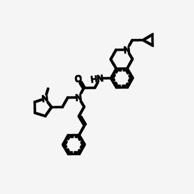 CN1CCCC1CCN(C/C=C/c1ccccc1)C(=O)CNc1cccc2c1CCN(CC1CC1)C2